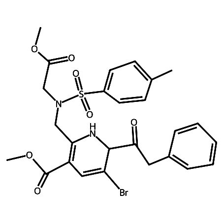 COC(=O)CN(CC1=C(C(=O)OC)C=C(Br)C(C(=O)Cc2ccccc2)N1)S(=O)(=O)c1ccc(C)cc1